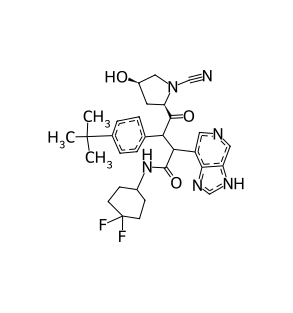 CC(C)(C)c1ccc(C(C(=O)[C@H]2C[C@@H](O)CN2C#N)C(C(=O)NC2CCC(F)(F)CC2)c2cncc3[nH]cnc23)cc1